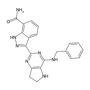 NC(=O)c1cccc2c(-c3nc4c(c(NCc5ccccc5)n3)NCC4)n[nH]c12